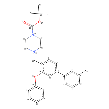 Cc1cccc(-c2ccc(CN3CCN(C(=O)OC(C)(C)C)CC3)c(Oc3ccccc3)c2)c1